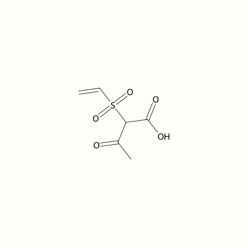 C=CS(=O)(=O)C(C(C)=O)C(=O)O